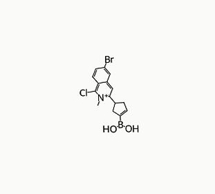 C[n+]1c(C2CC=C(B(O)O)C2)cc2cc(Br)ccc2c1Cl